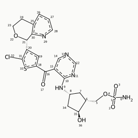 NS(=O)(=O)OC[C@H]1C[C@@H](Nc2ncncc2C(=O)c2cc([C@@H]3OCCc4cccnc43)c(Cl)s2)C[C@@H]1O